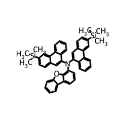 C[Si](C)(C)c1ccc2cc(N(c3cc4ccc([Si](C)(C)C)cc4c4ccccc34)c3cccc4c3oc3ccccc34)c3ccccc3c2c1